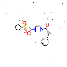 O=C(CS(=O)(=O)C1CCCC1)N1CCN(C(=O)[C@@H]2CC2c2ccccc2)CC1